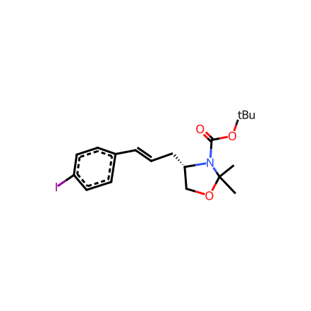 CC(C)(C)OC(=O)N1[C@@H](CC=Cc2ccc(I)cc2)COC1(C)C